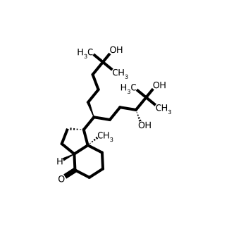 CC(C)(O)CCC[C@@H](CC[C@@H](O)C(C)(C)O)[C@H]1CC[C@H]2C(=O)CCC[C@]12C